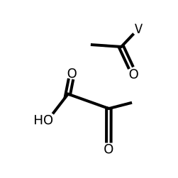 CC(=O)C(=O)O.C[C](=O)[V]